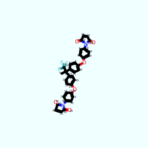 CC(c1ccc(Oc2ccc(N3C(=O)C=CC3=O)cc2)cc1)(c1ccc(Oc2ccc(N3C(=O)C=CC3=O)cc2)cc1)C(F)(F)F